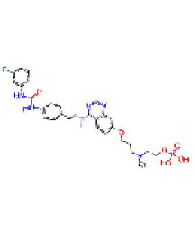 CCN(CCCOc1ccc2c(NCCc3ccc(NC(=O)Nc4cccc(F)c4)cc3)ncnc2c1)CCOP(=O)(O)O